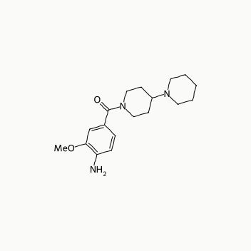 COc1cc(C(=O)N2CCC(N3CCCCC3)CC2)ccc1N